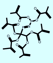 C=C(C)C(=O)OC(OC(=O)C(=C)C)C(OC(=O)C(=C)C)(OC(=O)C(=C)C)P=NP(OC(=O)C(=C)C)OC(=O)C(=C)C